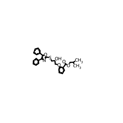 CC(C)COC(=O)c1ccccc1OCC(O)CSc1nc(-c2ccccc2)c(-c2ccccc2)o1